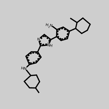 CC1CCC(Nc2ccc(-c3ncc(-c4ccc(C5CCCCC5C)cc4N)[nH]3)cc2)CC1